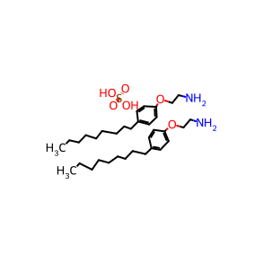 CCCCCCCCCc1ccc(OCCN)cc1.CCCCCCCCCc1ccc(OCCN)cc1.O=S(=O)(O)O